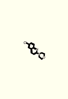 Clc1ccc2nc(N3CCOCC3)ccc2c1